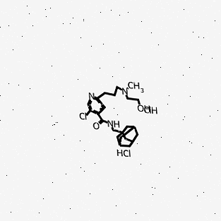 CN(CCO)CCCc1cc(C(=O)NCC23CC4CC(CC(C4)C2)C3)c(Cl)cn1.Cl.Cl